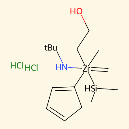 Cl.Cl.[CH2]=[Zr]([CH3])([CH2]CO)([NH]C(C)(C)C)([C]1=CC=CC1)[SiH](C)C